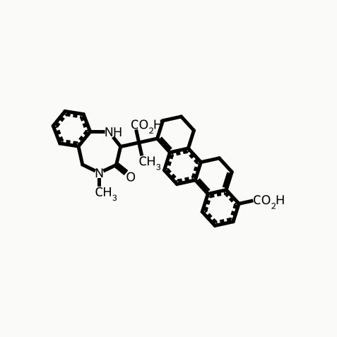 CN1Cc2ccccc2NC(C(C)(C(=O)O)C2=c3ccc4c(c3CCC2)CC=c2c(C(=O)O)cccc2=4)C1=O